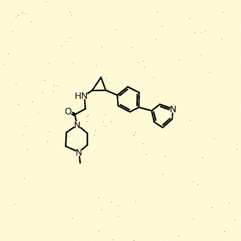 CN1CCN(C(=O)CNC2CC2c2ccc(-c3cccnc3)cc2)CC1